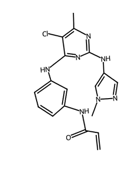 C=CC(=O)Nc1cccc(Nc2nc(Nc3cnn(C)c3)nc(C)c2Cl)c1